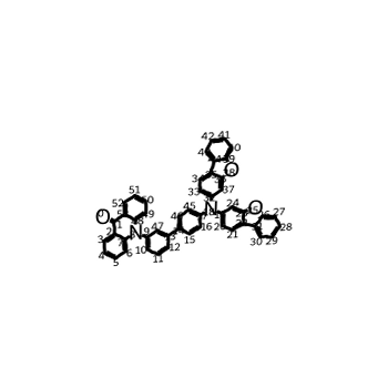 O=c1c2ccccc2n(-c2cccc(-c3ccc(N(c4ccc5c(c4)oc4ccccc45)c4ccc5c(c4)oc4ccccc45)cc3)c2)c2ccccc12